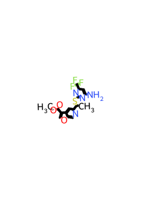 COC(=O)c1coc2cnc(C(C)Sc3nc(N)cc(C(F)(F)F)n3)cc12